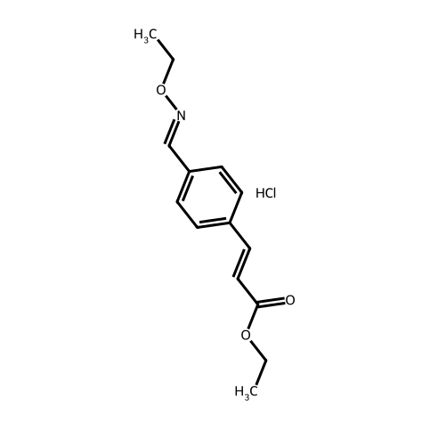 CCO/N=C/c1ccc(/C=C/C(=O)OCC)cc1.Cl